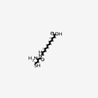 NC(CCS)C(=O)NCCCCCCCCCCCC(=O)O